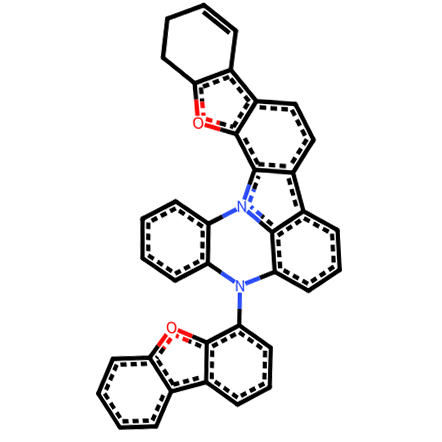 C1=Cc2c(oc3c2ccc2c4cccc5c4n(c23)-c2ccccc2N5c2cccc3c2oc2ccccc23)CC1